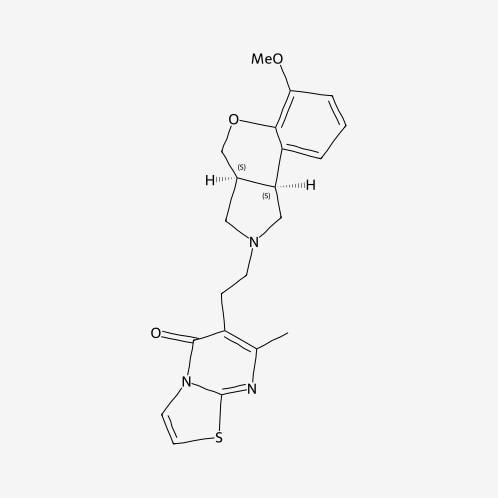 COc1cccc2c1OC[C@@H]1CN(CCc3c(C)nc4sccn4c3=O)C[C@H]21